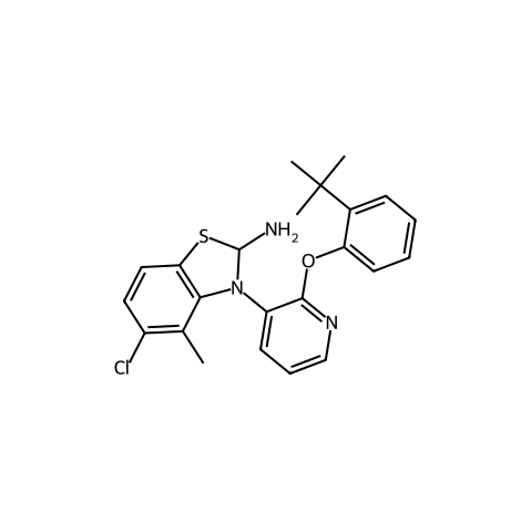 Cc1c(Cl)ccc2c1N(c1cccnc1Oc1ccccc1C(C)(C)C)C(N)S2